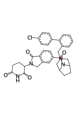 O=C1CCC(N2Cc3cc(C(=O)N4C5CCC4CN(Cc4ccccc4-c4ccc(Cl)cc4)C5)ccc3C2=O)C(=O)N1